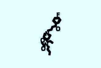 CCCCN1C(=O)COC2(CCN(CCCC(=O)c3ccc(F)cc3)CC2)C1CC